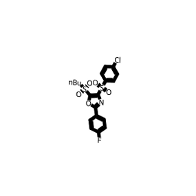 CCCCS(=O)(=O)c1oc(-c2ccc(F)cc2)nc1S(=O)(=O)c1ccc(Cl)cc1